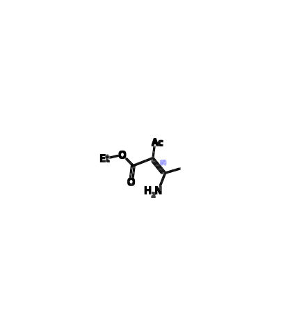 CCOC(=O)/C(C(C)=O)=C(/C)N